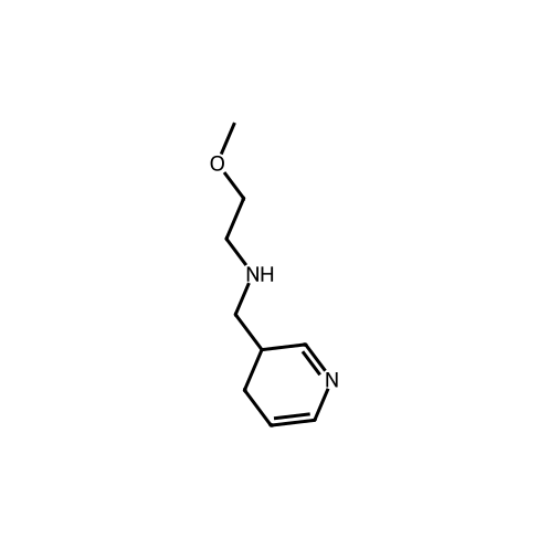 COCCNCC1C=NC=CC1